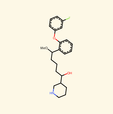 COC(CCCC(O)C1CCCNC1)c1ccccc1Oc1cccc(F)c1